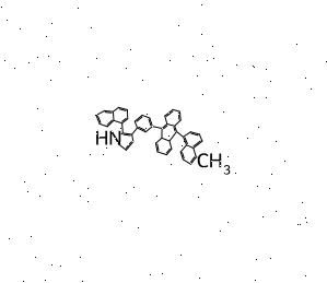 Cc1cccc2c(C3=c4ccccc4=C(c4cccc(C5=C(c6cccc7ccccc67)NCC=C5)c4)C4C=CC=CC34)cccc12